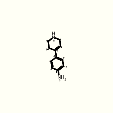 Nc1ccc(C2=CCNCC2)cc1